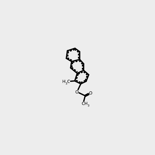 CC(=O)Oc1ccc2cc3ccccc3cc2c1C